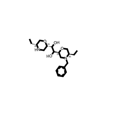 CC[C@@H]1CO[C@H](C(O)C(O)[C@@H]2CN(Cc3ccccc3)[C@H](CC)CO2)CN1